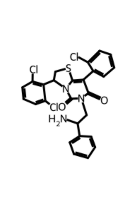 NC(Cn1c(=O)c(-c2ccccc2Cl)c2n(c1=O)C(c1c(Cl)cccc1Cl)CS2)c1ccccc1